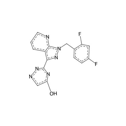 Oc1cnnc(-c2nn(Cc3ccc(F)cc3F)c3ncccc23)n1